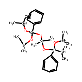 C[SiH](C)O[Si](O[SiH](C)C)(O[Si](C)(C)O[Si](O[SiH](C)C)(c1ccccc1)[SiH](C)C)c1ccccc1